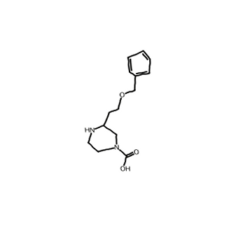 O=C(O)N1CCNC(CCOCc2ccccc2)C1